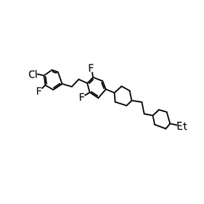 CCC1CCC(CCC2CCC(c3cc(F)c(CCc4ccc(Cl)c(F)c4)c(F)c3)CC2)CC1